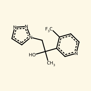 CC(O)(Cn1ccnn1)c1cnccc1C(F)(F)F